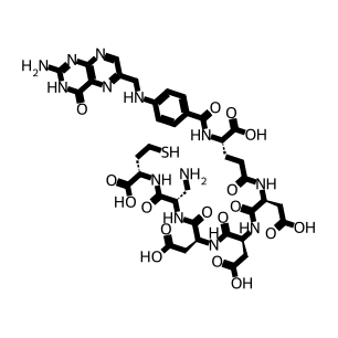 NC[C@H](NC(=O)[C@H](CC(=O)O)NC(=O)[C@H](CC(=O)O)NC(=O)[C@H](CC(=O)O)NC(=O)CC[C@H](NC(=O)c1ccc(NCc2cnc3nc(N)[nH]c(=O)c3n2)cc1)C(=O)O)C(=O)N[C@@H](CCS)C(=O)O